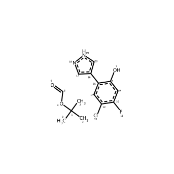 CC(C)(C)OC=O.Oc1cc(F)c(Cl)cc1-c1cn[nH]c1